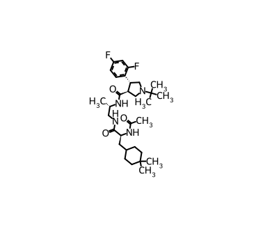 CC(=O)N[C@@H](CC1CCC(C)(C)CC1)C(=O)NC[C@H](C)NC(=O)[C@@H]1CN(C(C)(C)C)C[C@H]1c1ccc(F)cc1F